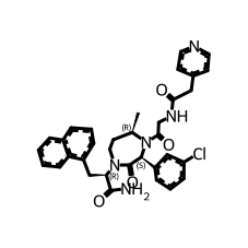 C[C@@H]1CCN([C@H](Cc2cccc3ccccc23)C(N)=O)C(=O)[C@H](c2cccc(Cl)c2)N1C(=O)CNC(=O)Cc1ccncc1